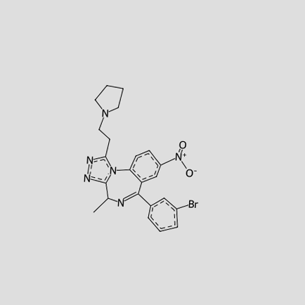 CC1N=C(c2cccc(Br)c2)c2cc([N+](=O)[O-])ccc2-n2c(CCN3CCCC3)nnc21